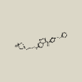 O=S1(=O)CCN(CCCCOc2ccc3c(Nc4ccc(OCc5ccccc5)cc4)ncnc3c2)CC1